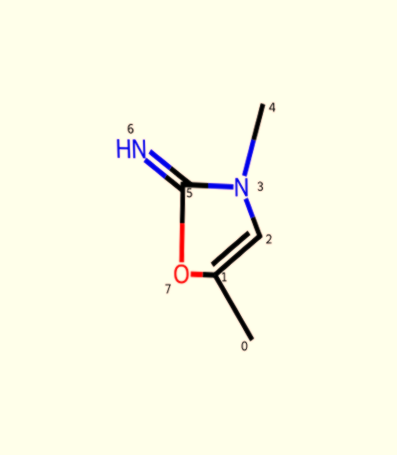 Cc1cn(C)c(=N)o1